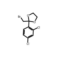 Clc1ccc(C2(CBr)OCCO2)c(Cl)c1